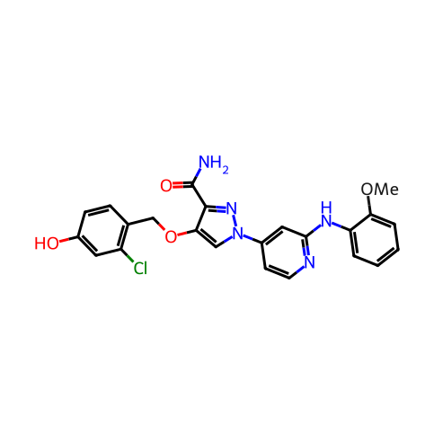 COc1ccccc1Nc1cc(-n2cc(OCc3ccc(O)cc3Cl)c(C(N)=O)n2)ccn1